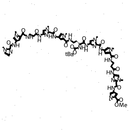 COC(=O)c1cc(NC(=O)c2nc(NC(=O)CCNC(=O)c3cc(NC(=O)c4nc(NC(=O)[C@@H](CCNC(=O)c5cc(NC(=O)c6nc(NC(=O)CCNC(=O)c7cc(NC(=O)c8nccn8C)cn7C)cn6C)cn5C)NC(=O)OC(C)(C)C)cn4C)cn3C)cn2C)cn1C